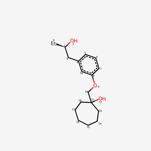 CC[C@@H](O)Cc1cccc(OCC2(O)CCCCCC2)c1